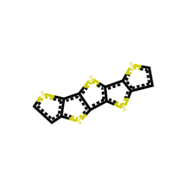 c1cc2sc3c(sc4c5sccc5sc43)c2s1